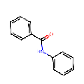 O=C(Nc1ccccc1)c1c[c][c]cc1